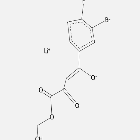 CCOC(=O)C(=O)C=C([O-])c1ccc(F)c(Br)c1.[Li+]